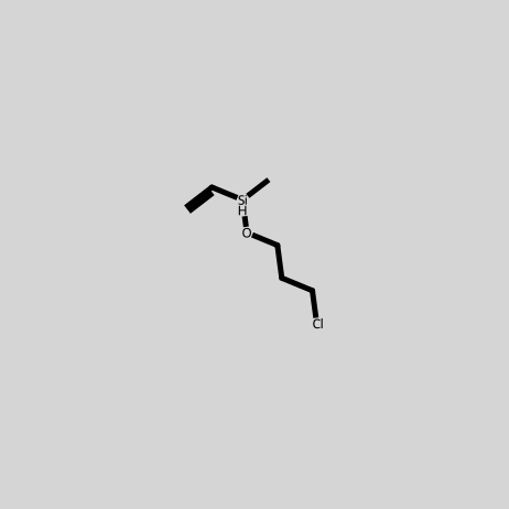 C=C[SiH](C)OCCCCl